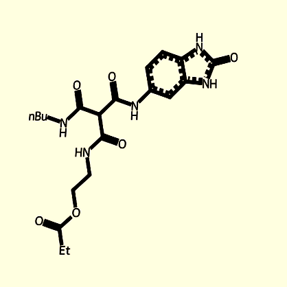 CCCCNC(=O)C(C(=O)NCCOC(=O)CC)C(=O)Nc1ccc2[nH]c(=O)[nH]c2c1